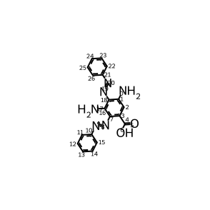 Nc1cc(C(=O)O)c(N=Nc2ccccc2)c(N)c1N=Nc1ccccc1